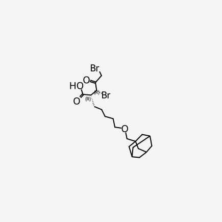 O=C(O)[C@@H](CCCCCOCC12CC3CC(CC(C3)C1)C2)[C@@H](Br)C(=O)CBr